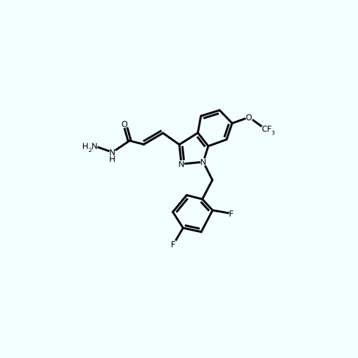 NNC(=O)C=Cc1nn(Cc2ccc(F)cc2F)c2cc(OC(F)(F)F)ccc12